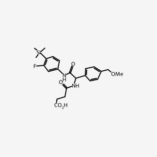 COCc1ccc(C(NC(=O)CCC(=O)O)C(=O)Nc2ccc([Si](C)(C)C)c(F)c2)cc1